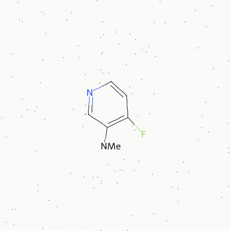 CNc1[c]nccc1F